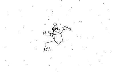 CC12CCC(CO)(OC1=O)C2(C)C